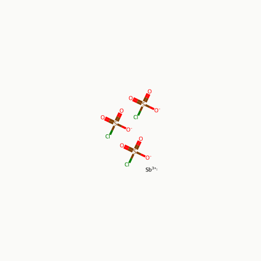 O=S(=O)([O-])Cl.O=S(=O)([O-])Cl.O=S(=O)([O-])Cl.[Sb+3]